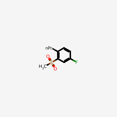 CCCc1ccc(F)cc1S(C)(=O)=O